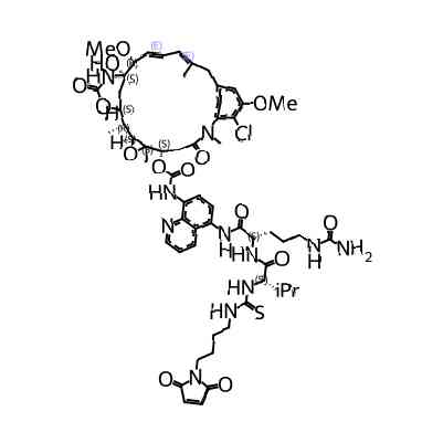 COc1cc2cc(c1Cl)N(C)C(=O)C[C@H](OC(=O)Nc1ccc(NC(=O)[C@H](CCCNC(N)=O)NC(=O)[C@@H](NC(=S)NCCCCN3C(=O)C=CC3=O)C(C)C)c3cccnc13)[C@]1(C)O[C@H]1[C@H](C)[C@@H]1C[C@@](O)(NC(=O)O1)[C@H](OC)/C=C/C=C(\C)C2